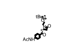 CC(=O)Nc1ccc(C(=O)S[C@@H]2CC(=O)N2CCO[Si](C)(C)C(C)(C)C)cc1